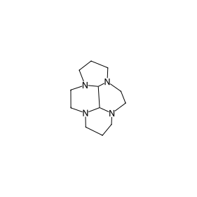 C1CN2CCN3CCCN4CCN(C1)C2C34